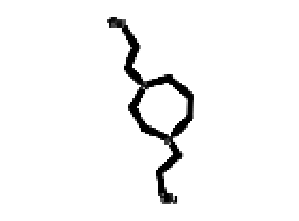 CC(C)(C)CCN1CCCN(CCC(C)(C)C)CC1